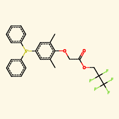 Cc1cc([S+](c2ccccc2)c2ccccc2)cc(C)c1OCC(=O)OCC(F)(F)C(F)(F)F